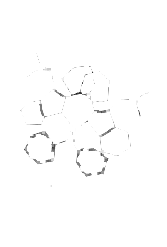 C[SiH](C)OC1=C(C2CCCCC2)[CH]([Zr+2]([CH]2C3=C(CCCC3)C(O[SiH](C)C)=C2C2CCCCC2)[SiH](c2ccccc2)c2ccccc2)C2=C1CCCC2.[Cl-].[Cl-]